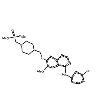 COc1cc2c(Nc3cccc(Br)c3)ncnc2cc1OCC1CCN(CP(=O)(OC)OC)CC1